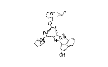 C#Cc1cccc2cc(O)cc(-c3nc4c(N5CC6CCC(C5)N6)nc(OC[C@@]56CCCN5C[C@H](F)C6)nc4[nH]3)c12